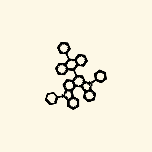 C1=CCCC(n2c3ccccc3c3c4c(ccc32)c(-c2c3ccccc3c(-c3ccccc3)c3ccccc23)cc2c4c3ccccc3n2-c2ccccc2)=C1